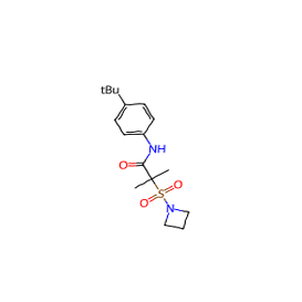 CC(C)(C)c1ccc(NC(=O)C(C)(C)S(=O)(=O)N2CCC2)cc1